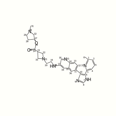 Cc1cccc(-c2[nH]cnc2-c2ccc3ncc(NCCN4CC(C(=O)O[C@H]5CCN(C)C5)C4)cc3c2)n1